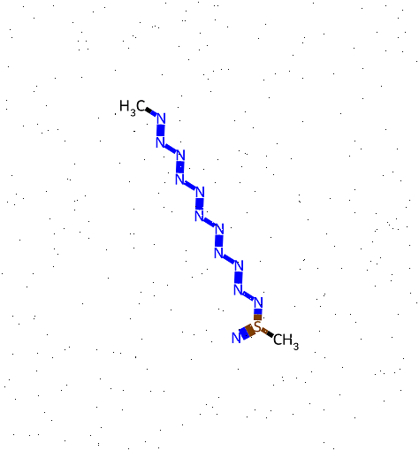 CN=NN=NN=NN=NN=NN=S(C)#N